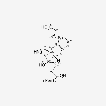 CCCCC[C@H](O)CC[C@H]1[C@H]2Cc3cccc(OCC(=O)O)c3C[C@H]2C[C@@H]1O.[NaH]